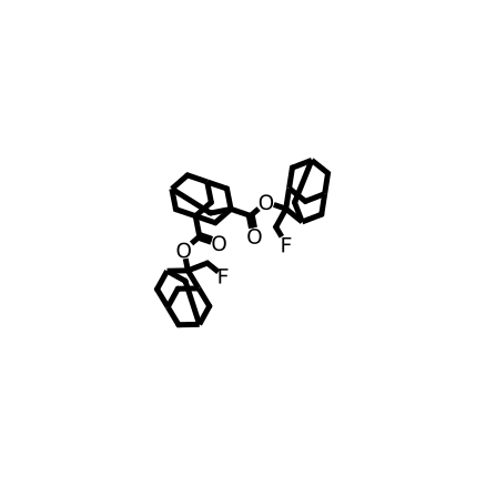 O=C(OC1(CF)C2CC3CC(C2)CC1C3)C12CC3CC(C1)CC(C(=O)OC1(CF)C4CC5CC(C4)CC1C5)(C3)C2